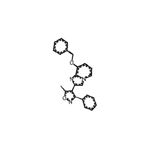 Cc1onc(-c2ccccc2)c1-c1cn2cccc(OCc3ccccc3)c2n1